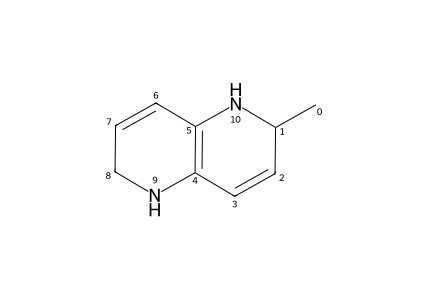 CC1C=CC2=C(C=CCN2)N1